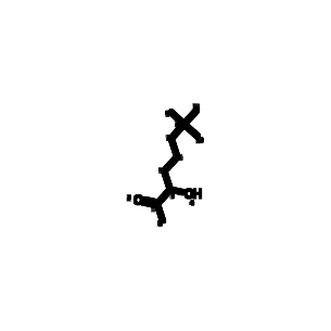 CC(=O)C(O)CCCC(C)(C)C